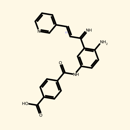 N=C(/C=C/c1cccnc1)c1cc(NC(=O)c2ccc(C(=O)O)cc2)ccc1N